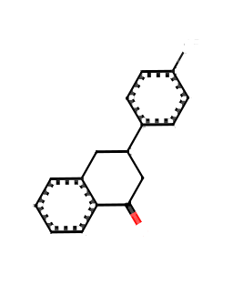 O=C1CC(c2ccc(C(F)(F)F)cc2)Cc2ccccc21